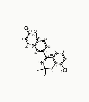 CC1(C)Cc2c(Cl)cccc2C(c2ccc3oc(=O)ccc3c2)=N1